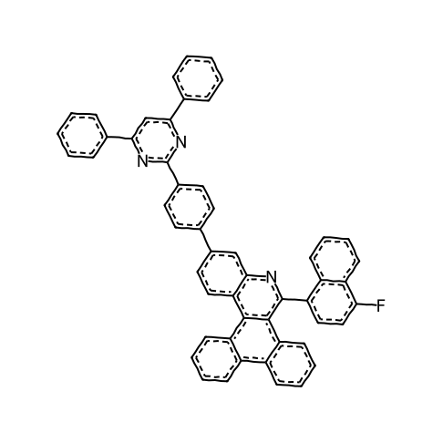 Fc1ccc(-c2nc3cc(-c4ccc(-c5nc(-c6ccccc6)cc(-c6ccccc6)n5)cc4)ccc3c3c4ccccc4c4ccccc4c23)c2ccccc12